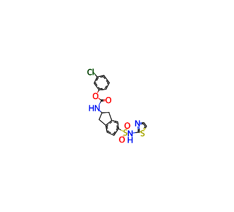 O=C(NC1Cc2ccc(S(=O)(=O)Nc3nccs3)cc2C1)Oc1cccc(Cl)c1